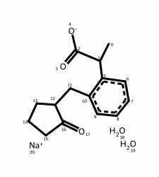 CC(C(=O)[O-])c1ccccc1CC1CCCC1=O.O.O.[Na+]